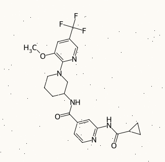 COc1cc(C(F)(F)F)cnc1N1CCCC(NC(=O)c2ccnc(NC(=O)C3CC3)c2)C1